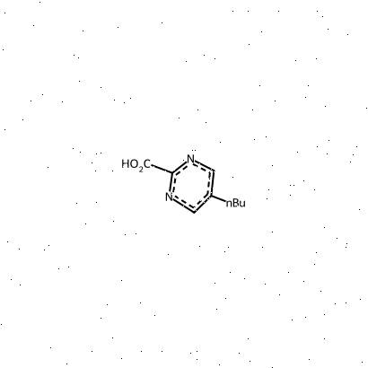 CCCCc1cnc(C(=O)O)nc1